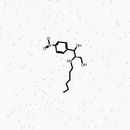 CCCCCCN[C@H](CO)C(O)c1ccc([N+](=O)[O-])cc1